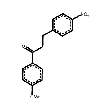 COc1ccc(C(=O)CCc2ccc([N+](=O)[O-])cc2)cc1